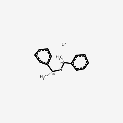 C[C@@H]([N-][C@H](C)c1ccccc1)c1ccccc1.[Li+]